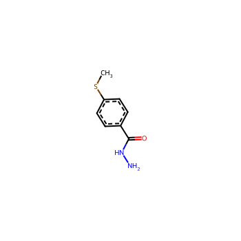 CSc1ccc(C(=O)NN)cc1